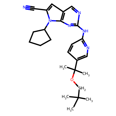 CC(C)(C)[SiH2]OC(C)(C)c1ccc(Nc2ncc3cc(C#N)n(C4CCCC4)c3n2)nc1